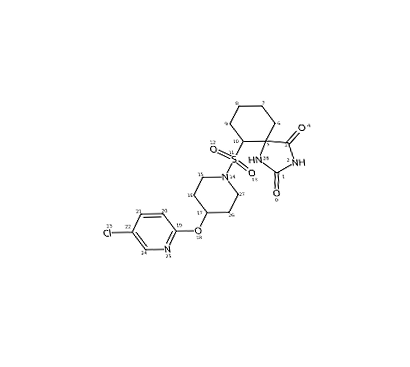 O=C1NC(=O)C2(CCCCC2S(=O)(=O)N2CCC(Oc3ccc(Cl)cn3)CC2)N1